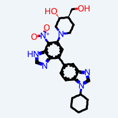 O=[N+]([O-])c1c(N2CC[C@H](CO)[C@@H](O)C2)cc(-c2ccc3c(c2)ncn3C2CCCCC2)c2nc[nH]c12